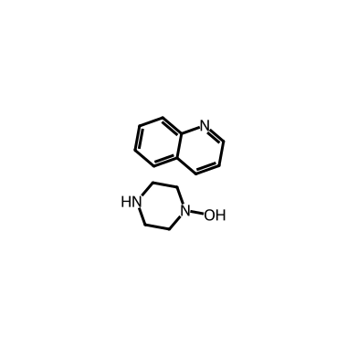 ON1CCNCC1.c1ccc2ncccc2c1